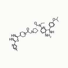 CCN(C(=O)[C@@H]1CCN(CC(=O)N2CC=C(C(=N)SC(=N)c3cn(C)cn3)CC2)C1)c1ccc(N)c(C(=N)c2ccc(OC(C)C)cc2)n1